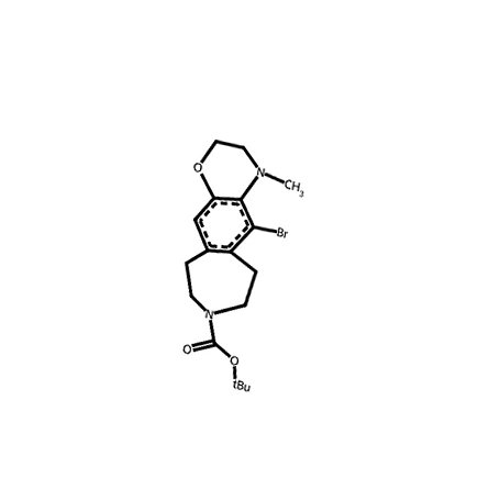 CN1CCOc2cc3c(c(Br)c21)CCN(C(=O)OC(C)(C)C)CC3